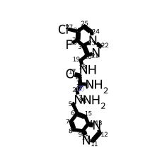 N/C(=C\N(N)Cc1ccc2nccnc2c1)C(=O)NCc1ncn2ccc(Cl)c(F)c12